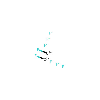 [C+3]F.[C+3]F.[F-].[F-].[F-].[F-].[F-].[F-]